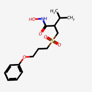 CC(C)C(CS(=O)(=O)CCCOc1ccccc1)C(=O)NO